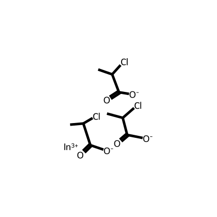 CC(Cl)C(=O)[O-].CC(Cl)C(=O)[O-].CC(Cl)C(=O)[O-].[In+3]